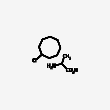 CC(N)C(=O)O.ClC1CCCCCCC1